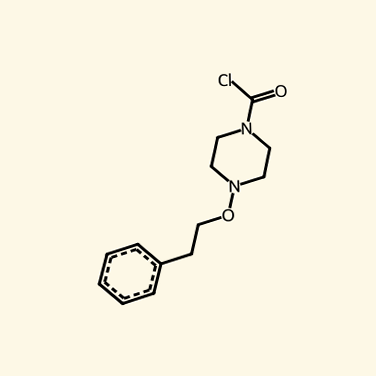 O=C(Cl)N1CCN(OCCc2ccccc2)CC1